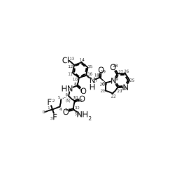 CC(F)(F)CC[C@H](NC(=O)c1cc(Cl)ccc1NC(=O)[C@@H]1CCc2nccc(=O)n21)C(=O)C(N)=O